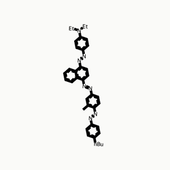 CCCCc1ccc(N=Nc2ccc(N=Nc3ccc(N=Nc4ccc(N(CC)CC)cc4)c4ccccc34)cc2C)cc1